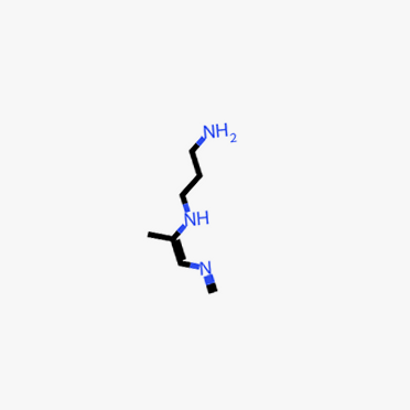 C=N/C=C(/C)NCCCN